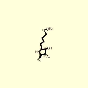 CCCCSCCCCC1NC(=O)C(C(C)=O)C1O